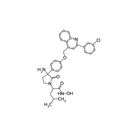 CC(C)CC(C(=O)NO)N1CCC(N)(c2ccc(OCc3cc(-c4cccc(Cl)c4)nc4ccccc34)cc2)C1=O